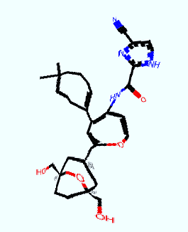 CC1(C)CC=C(C2=C(NC(=O)c3nc(C#N)c[nH]3)C=COC([C@H]3C[C@]4(CO)CC[C@](CO)(C3)O4)=C2)CC1